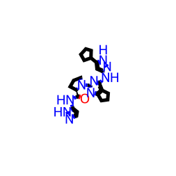 O=C(Nc1ccn[nH]1)[C@H]1CCCN1c1nc2c(c(Nc3cc(C4CCCC4)[nH]n3)n1)CCC2